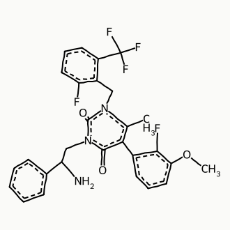 COc1cccc(-c2c(C)n(Cc3c(F)cccc3C(F)(F)F)c(=O)n(CC(N)c3ccccc3)c2=O)c1F